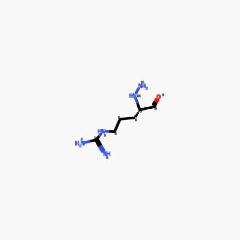 N=C(N)NCCC[C@@H]([C]=O)NN